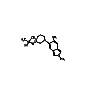 Cn1cc2cc([N+](=O)[O-])c(N3CCC[C@@H](O[Si](C)(C)C(C)(C)C)C3)cc2n1